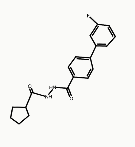 O=C(NNC(=O)C1CCCC1)c1ccc(-c2cccc(F)c2)cc1